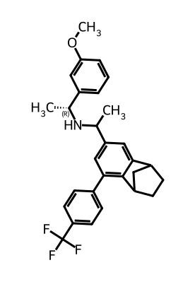 COc1cccc([C@@H](C)NC(C)c2cc(-c3ccc(C(F)(F)F)cc3)c3c(c2)C2CCC3C2)c1